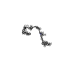 N=N/C(=C\NCCCC(=O)N1CCN(CC#Cc2ccc(OCCCc3sc(N4CCc5cccc(C(=O)Nc6nc7ccccc7s6)c5C4)nc3C(=O)O)c(F)c2)CC1)COCCOCCOc1cccc2c1C(=O)N(C1CCC(=O)NC1=O)C2=O